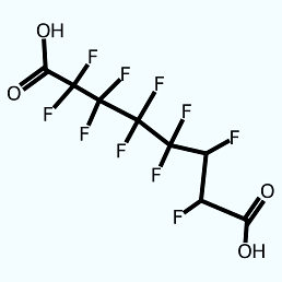 O=C(O)C(F)C(F)C(F)(F)C(F)(F)C(F)(F)C(F)(F)C(=O)O